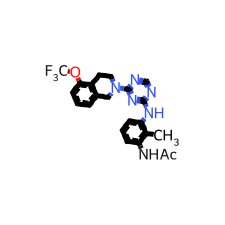 CC(=O)Nc1cccc(Nc2ncnc(N3CCc4c(cccc4OC(F)(F)F)C3)n2)c1C